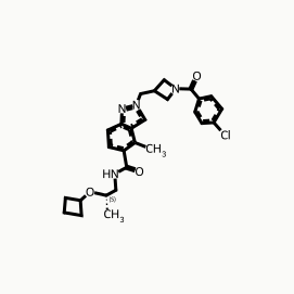 Cc1c(C(=O)NC[C@H](C)OC2CCC2)ccc2nn(CC3CN(C(=O)c4ccc(Cl)cc4)C3)cc12